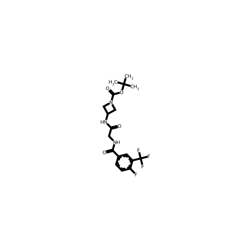 CC(C)(C)OC(=O)N1CC(NC(=O)CNC(=O)c2ccc(F)c(C(F)(F)F)c2)C1